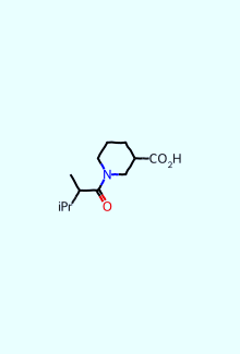 CC(C)C(C)C(=O)N1CCCC(C(=O)O)C1